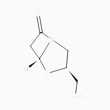 CC(=O)OC[C@@H]1CN2C(=O)C[C@H]2S1